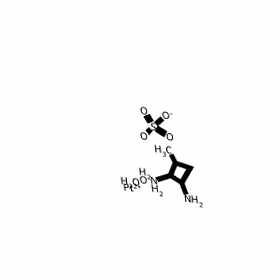 CC1CC(N)C1N.O.O.O=S(=O)([O-])[O-].[Pt+2]